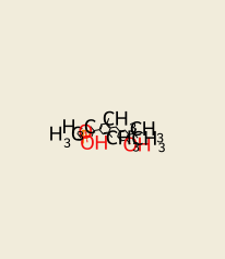 CCP(=O)(O)CC(C)c1cc(C)c(Cc2ccc(O)c(C(C)C)c2)c(C)c1